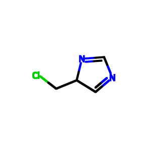 ClCC1C=NC=N1